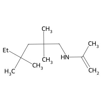 C=C(C)NCC(C)(C)CC(C)(C)CC